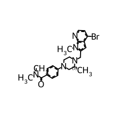 C[C@H]1CN(c2ccc(C(=O)N(C)C)cc2)CCN1Cc1cc2c(Br)ccnc2n1C